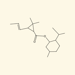 CC=CC1C(C(=O)OC2CC(C)CCC2C(C)C)C1(C)C